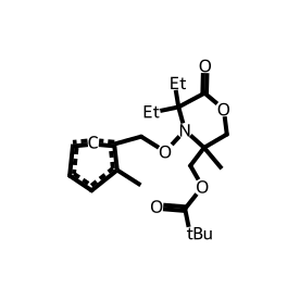 CCC1(CC)C(=O)OCC(C)(COC(=O)C(C)(C)C)N1OCc1ccccc1C